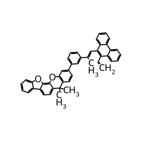 C=Cc1c(/C=C(\C)c2cccc(-c3ccc4c(c3)Oc3c(ccc5c3oc3ccccc35)C4(C)C)c2)c2ccccc2c2ccccc12